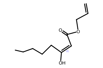 C=CCOC(=O)/C=C(/O)CCCCC